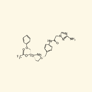 Nc1ncn(CC(=O)Nc2ccc(C[C@@H]3CC[C@H]([C@@H](COc4ccccc4)OC(=O)C(F)(F)F)N3)cc2)n1